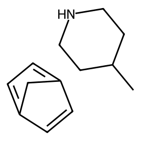 C1=CC2=CC=C1C2.CC1CCNCC1